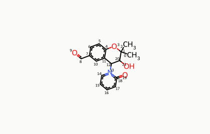 CC1(C)Oc2ccc(C=O)cc2C(n2ccccc2=O)C1O